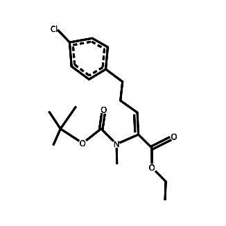 CCOC(=O)C(=CCCc1ccc(Cl)cc1)N(C)C(=O)OC(C)(C)C